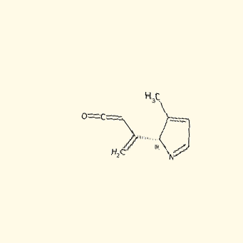 C=C(C=C=O)[C@H]1N=CC=C1C